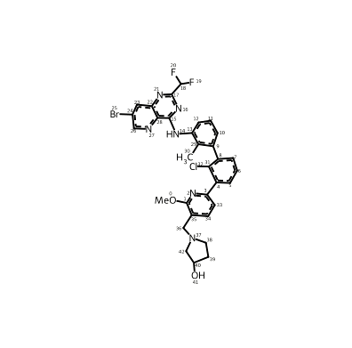 COc1nc(-c2cccc(-c3cccc(Nc4nc(C(F)F)nc5cc(Br)cnc45)c3C)c2Cl)ccc1CN1CCC(O)C1